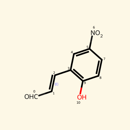 O=C/C=C/c1cc([N+](=O)[O-])ccc1O